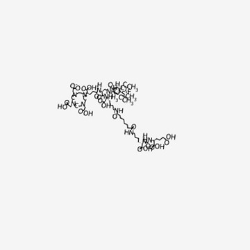 CC(C)(C)[C@H](F)[S+](c1ccc(C(=O)NC[C@H](NC(=O)CC[C@H](C(=O)O)N2CCN(CC(=O)[O-])CCN(CC(=O)O)CCN(CC(=O)O)CC2)C(=O)N[C@H](CCCCNC(=O)CCCCCCC(=O)NCCCC[C@H](NC(=O)N[C@@H](CCCC(=O)O)C(=O)O)C(=O)O)C(=O)O)cc1)C(C)(C)C